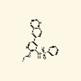 CCOc1ncc(-c2ccc3ncccc3c2)cc1NS(=O)(=O)c1ccccc1